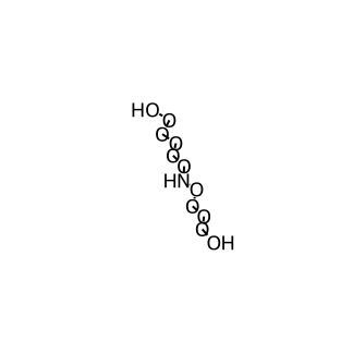 OOOOONOOOOOO